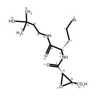 CC(C)CC[C@H](NC(=O)[C@H]1O[C@@H]1C(=O)O)C(=O)NCCC(C)(C)O